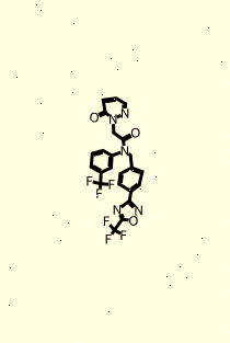 O=C(Cn1ncccc1=O)N(Cc1ccc(-c2noc(C(F)(F)F)n2)cc1)c1cccc(C(F)(F)F)c1